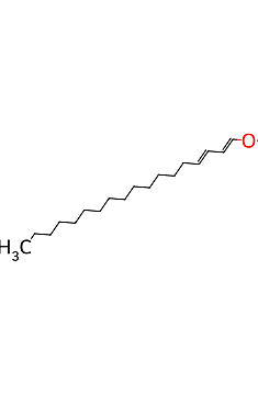 CCCCCCCCCCCCCCC=CC=C[O]